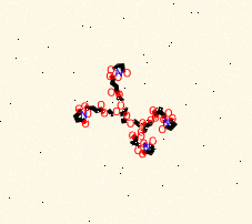 C=C(OCCOC(COOC(=O)C(C)C(=O)ON1C(=O)CCC1=O)COOC(=O)C(C)C(=O)ON1C(=O)CCC1=O)OC(COCCOC(=O)CCC(=O)ON1C(=O)CCC1=O)COCCOC(=O)CCC(=O)ON1C(=O)CCC1=O